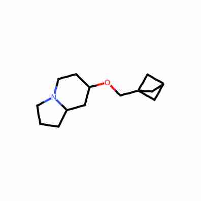 C1CC2CC(OCC34CC(C3)C4)CCN2C1